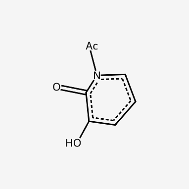 CC(=O)n1cccc(O)c1=O